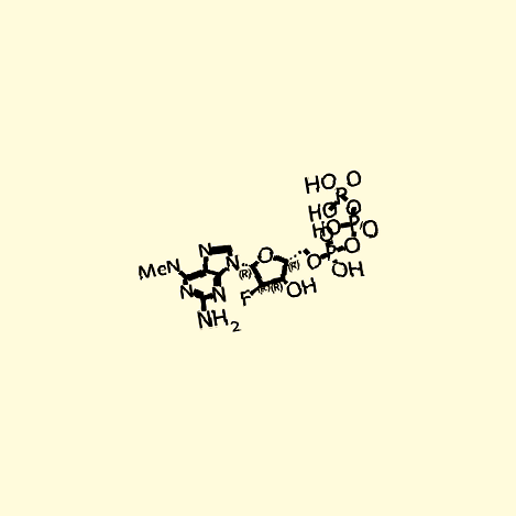 CNc1nc(N)nc2c1ncn2[C@@H]1O[C@H](COP(=O)(O)OP(=O)(O)OP(=O)(O)O)[C@@H](O)[C@H]1F